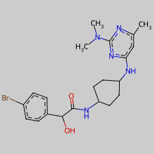 Cc1cc(NC2CCC(NC(=O)C(O)c3ccc(Br)cc3)CC2)nc(N(C)C)n1